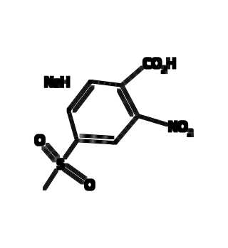 CS(=O)(=O)c1ccc(C(=O)O)c([N+](=O)[O-])c1.[NaH]